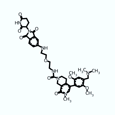 COc1cc(-c2cn(C)c(=O)c3c2CCN(C(=O)NCCOCCNc2ccc4c(c2)C(=O)N(C2CCC(=O)NC2=O)C4=O)C3)c(OC)cc1CN(C)C